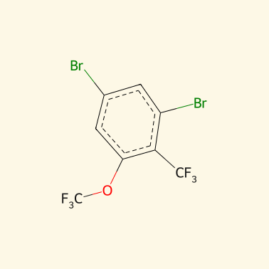 FC(F)(F)Oc1cc(Br)cc(Br)c1C(F)(F)F